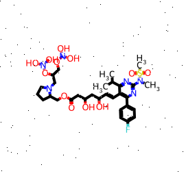 CC(C)c1nc(N(C)S(C)(=O)=O)nc(-c2ccc(F)cc2)c1/C=C/C(O)CC(O)CC(=O)OCC1CCCN1CC(CON(O)O)ON(O)O